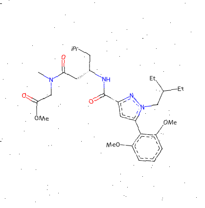 CCC(CC)Cn1nc(C(=O)N[C@H](CC(=O)N(C)CC(=O)OC)CC(C)C)cc1-c1c(OC)cccc1OC